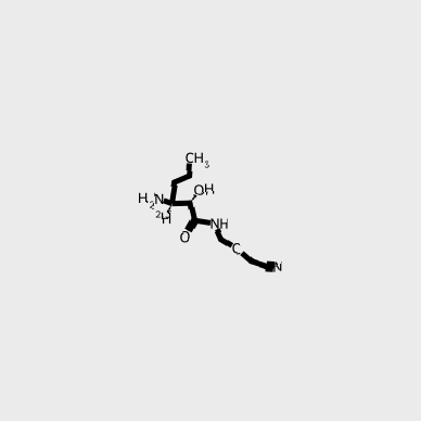 [2H][C@](N)(CCC)[C@H](O)C(=O)NCCCC#N